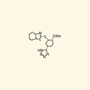 COc1ccc(-c2nnn[nH]2)cc1Sc1nc2ccccc2s1